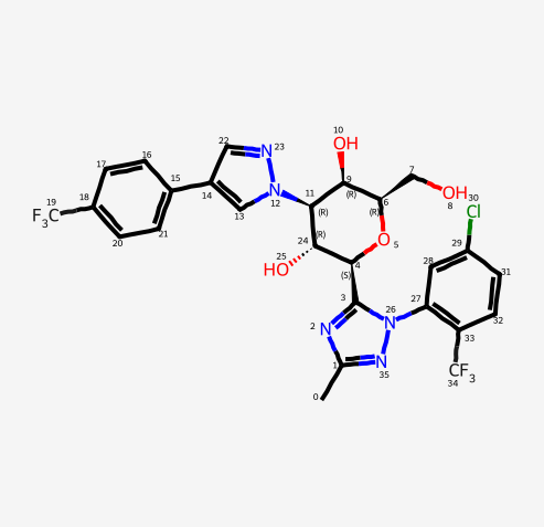 Cc1nc([C@@H]2O[C@H](CO)[C@H](O)[C@H](n3cc(-c4ccc(C(F)(F)F)cc4)cn3)[C@H]2O)n(-c2cc(Cl)ccc2C(F)(F)F)n1